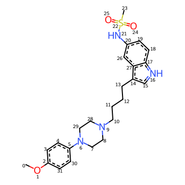 COc1ccc(N2CCN(CCCCc3c[nH]c4ccc(NS(C)(=O)=O)cc34)CC2)cc1